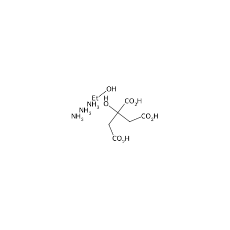 CCO.N.N.N.O=C(O)CC(O)(CC(=O)O)C(=O)O